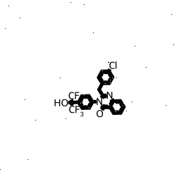 O=c1c2ccccc2nc(Cc2ccc(Cl)cc2)n1-c1ccc(C(O)(C(F)(F)F)C(F)(F)F)cc1